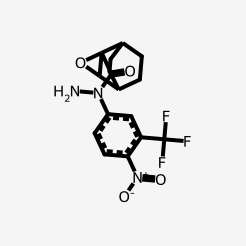 NN(C(=O)C12OC1C1CCC2CC1)c1ccc([N+](=O)[O-])c(C(F)(F)F)c1